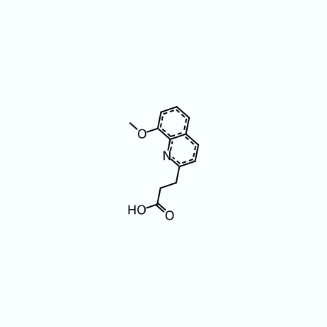 COc1cccc2ccc(CCC(=O)O)nc12